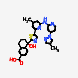 Cc1cc(Nc2cc(-n3cc(C)cn3)ccn2)nc(-c2cnc([C@@]3(O)CCCc4cc(C(=O)O)ccc43)s2)c1